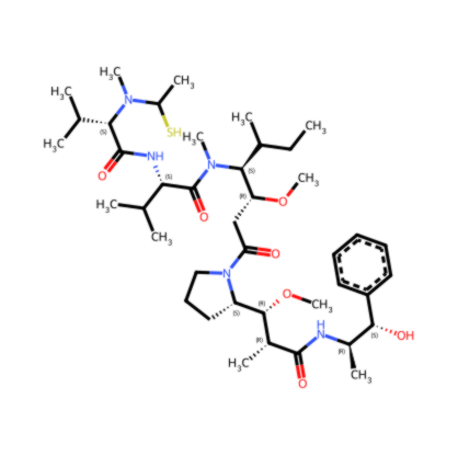 CCC(C)[C@@H]([C@@H](CC(=O)N1CCC[C@H]1[C@H](OC)[C@@H](C)C(=O)N[C@H](C)[C@@H](O)c1ccccc1)OC)N(C)C(=O)[C@@H](NC(=O)[C@H](C(C)C)N(C)C(C)S)C(C)C